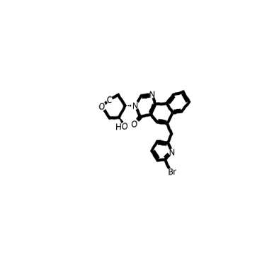 O=c1c2cc(Cc3cccc(Br)n3)c3ccccc3c2ncn1[C@H]1CCOC[C@@H]1O